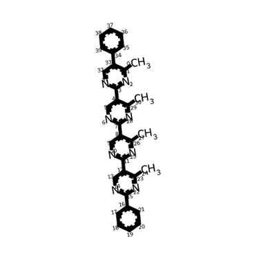 Cc1nc(-c2cnc(-c3cnc(-c4cnc(-c5ccccc5)nc4C)nc3C)nc2C)ncc1-c1ccccc1